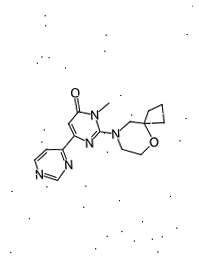 Cn1c(N2CCOC3(CCC3)C2)nc(-c2ccncn2)cc1=O